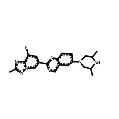 Cc1nc2c(F)cc(-c3ncc4cc(N5CC(C)NC(C)C5)ccc4n3)cn2n1